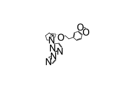 c1cn(-c2nccc(N3CCC[C@@H]3COCCc3ccc4c(c3)OCO4)n2)cn1